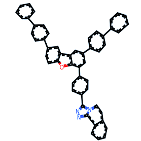 c1ccc(-c2ccc(-c3ccc4oc5c(-c6ccc(-c7nnc8c9ccccc9ccn78)cc6)cc(-c6ccc(-c7ccccc7)cc6)cc5c4c3)cc2)cc1